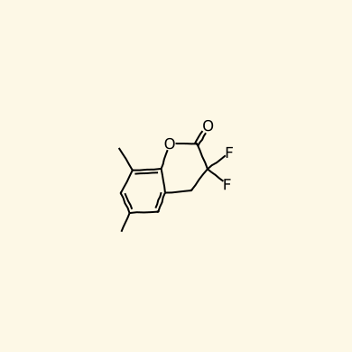 Cc1cc(C)c2c(c1)CC(F)(F)C(=O)O2